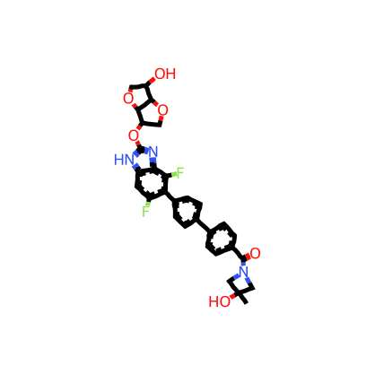 CC1(O)CN(C(=O)c2ccc(-c3ccc(-c4c(F)cc5[nH]c(OC6COC7C(O)COC67)nc5c4F)cc3)cc2)C1